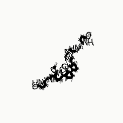 COc1nc(-c2cccc(-c3cccc(-c4cn5c(CNC[C@@H]6CCC(=O)N6)cnc5cn4)c3Cl)c2Cl)ccc1CNC[C@H]1CCC(=O)N1